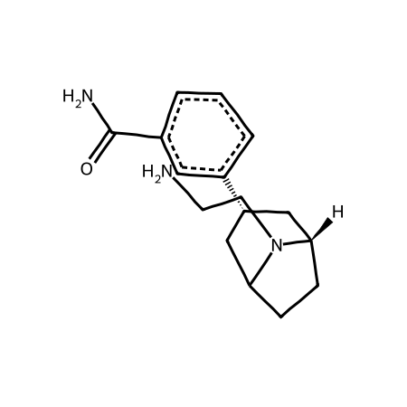 NCCN1C2CC[C@H]1C[C@@H](c1cccc(C(N)=O)c1)C2